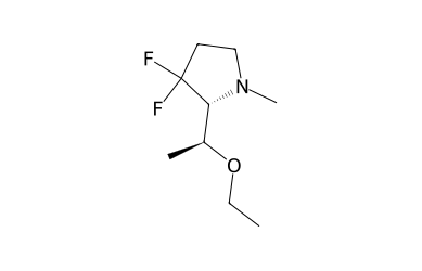 CCO[C@@H](C)[C@H]1N(C)CCC1(F)F